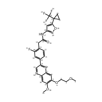 COCCOc1cc2nc(-c3ccc(CC(=O)Nc4cc(C5(C(F)(F)F)CC5)on4)c(F)c3)cnc2cc1OC